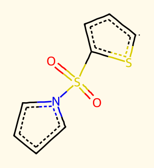 O=S(=O)(c1cc[c]s1)n1cccc1